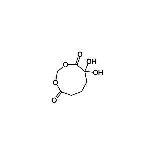 O=C1CCCC(O)(O)C(=O)OCO1